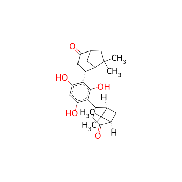 CC1(C)CC2CC1[C@H](c1c(O)cc(O)c(C3CC(=O)[C@@H]4C[C@H]3C4(C)C)c1O)CC2=O